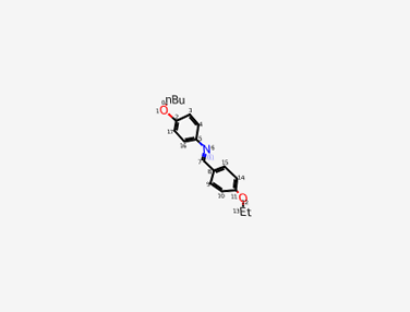 CCCCOc1ccc(/N=C/c2ccc(OCC)cc2)cc1